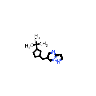 CC(C)(C)C1CCC(Cc2cnc3ccnn3c2)C1